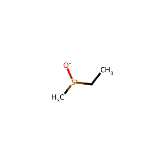 CC[S+](C)[O-]